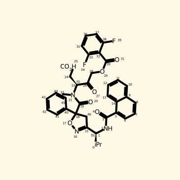 CC(C)[C@H](NC(=O)c1cccc2ccccc12)C1=NOC(C(=O)N(C)[C@@H](CC(=O)O)C(=O)COC(=O)c2c(F)cccc2F)(c2ccccc2)C1